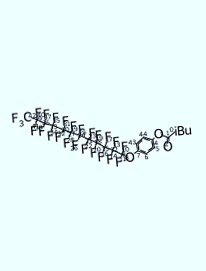 CCC(C)C(=O)Oc1ccc(OC(F)(F)C(F)(F)C(F)(F)C(F)(F)C(F)(F)C(F)(F)C(F)(F)C(F)(F)C(F)(F)C(F)(F)C(F)(F)C(F)(F)F)cc1